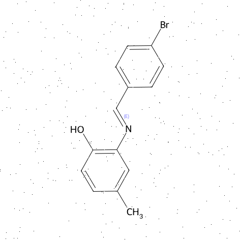 Cc1ccc(O)c(/N=C/c2ccc(Br)cc2)c1